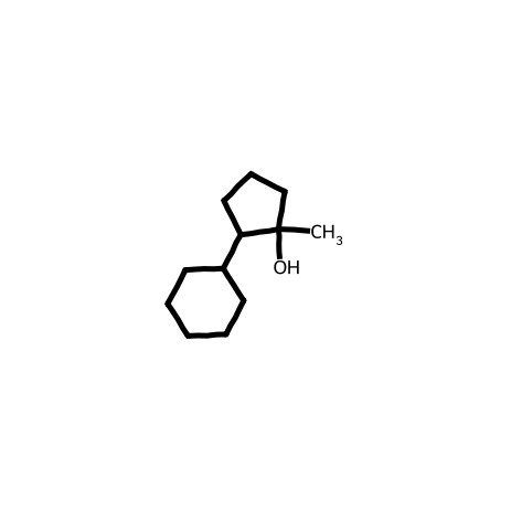 CC1(O)CCCC1C1CCCCC1